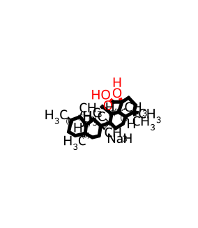 C[C@@H]1[C@H]2[C@H]3CC[C@@H]4[C@]5(C)[C@@H](CC[C@@]4(C)[C@]3(C)CC[C@@]2(C)CC[C@H]1C)C(C)(C)CCC5(O)C(=O)O.[NaH]